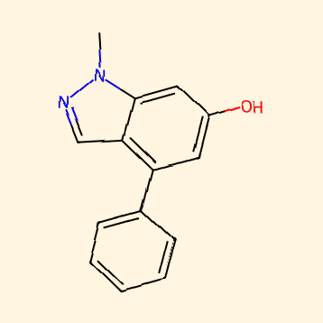 Cn1ncc2c(-c3ccccc3)cc(O)cc21